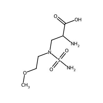 COCCN(CC(N)C(=O)O)S(N)(=O)=O